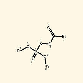 CCC(=O)OSP(=S)(OC(C)C)OC(C)C